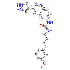 COc1cccc(CCCCNC(=O)Nc2ccc3ncc(C4=CNNC4)cc3n2)c1